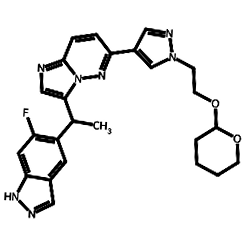 CC(c1cc2cn[nH]c2cc1F)c1cnc2ccc(-c3cnn(CCOC4CCCCO4)c3)nn12